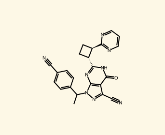 CC(c1ccc(C#N)cc1)n1nc(C#N)c2c(=O)[nH]c([C@@H]3CC[C@H]3c3ncccn3)nc21